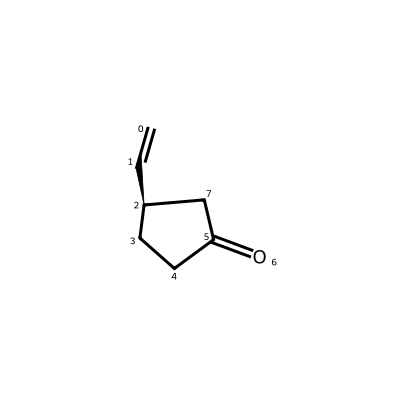 C=C[C@@H]1CCC(=O)C1